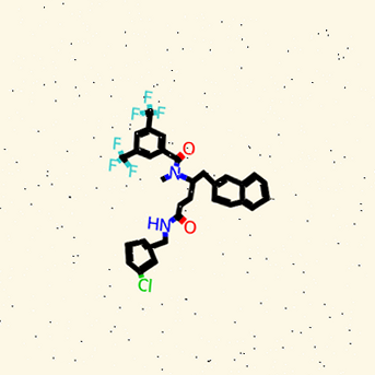 CN(C(=O)c1cc(C(F)(F)F)cc(C(F)(F)F)c1)C(CCC(=O)NCc1cccc(Cl)c1)Cc1ccc2ccccc2c1